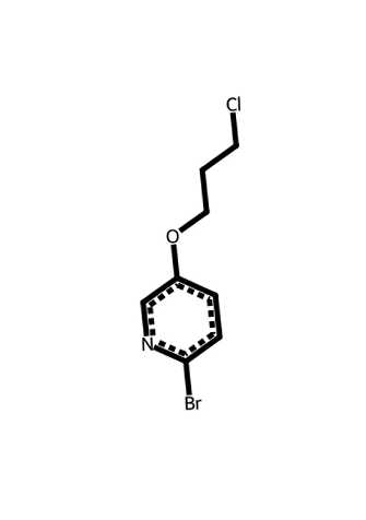 ClCCCOc1ccc(Br)nc1